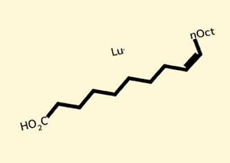 CCCCCCCC/C=C\CCCCCCCC(=O)O.[Lu]